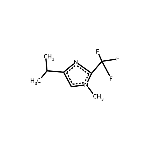 CC(C)c1cn(C)c(C(F)(F)F)n1